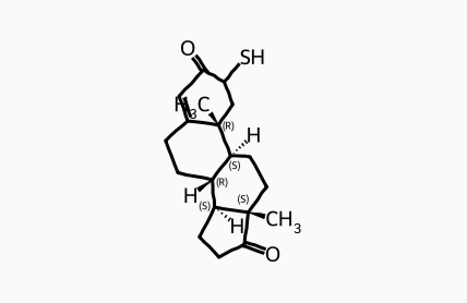 C[C@]12CC(S)C(=O)C=C1CC[C@@H]1[C@@H]2CC[C@]2(C)C(=O)CC[C@@H]12